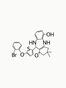 CC1(C)CC(=O)C2=C(C1)Nc1c(O)cccc1NC2c1ccc(Oc2ccccc2Br)s1